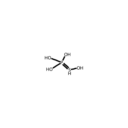 O[SH]=P(O)(O)O